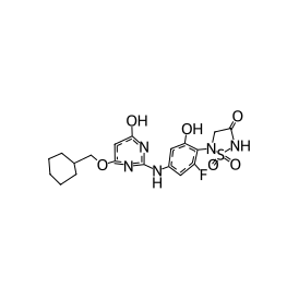 O=C1CN(c2c(O)cc(Nc3nc(O)cc(OCC4CCCCC4)n3)cc2F)S(=O)(=O)N1